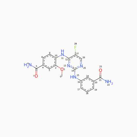 COc1cc(C(N)=O)ccc1Nc1nc(Nc2cccc(C(N)=O)c2)ncc1F